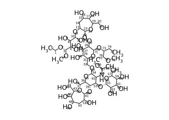 CCO[C@@H](OC)C(O)C(O)[C@H](O)OC1CC(O)[C@@H](O)C(CO)O[C@H]1OOC1C(O)[C@H](O)C(CO[C@@H]2OC(CO)[C@@H](O[C@@H]3OC(CO)[C@H](O)C(O)CC3O)C(O[C@@H]3OC(C)[C@@H](O)C(O)C3O)C2NC(C)=O)O[C@@H]1OC(CC)[C@@H](C)OC